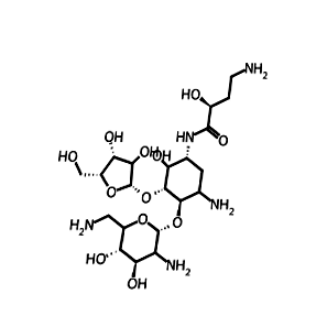 NCC[C@H](O)C(=O)N[C@@H]1CC(N)[C@@H](O[C@H]2OC(CN)[C@@H](O)[C@H](O)C2N)[C@H](O[C@@H]2O[C@H](CO)[C@H](O)C2O)C1O